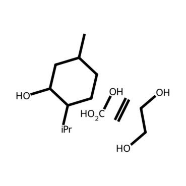 C=C.CC1CCC(C(C)C)C(O)C1.O=C(O)O.OCCO